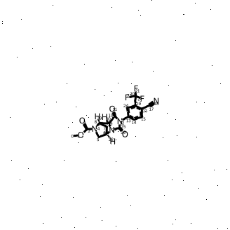 COC(=O)N1C[C@@H]2C[C@H]1[C@@H]1C(=O)N(c3ccc(C#N)c(C(F)(F)F)c3)C(=O)N21